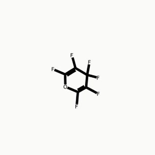 FC1=C(F)C(F)(F)C(F)=C(F)O1